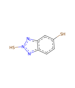 Sc1ccc2nn(S)nc2c1